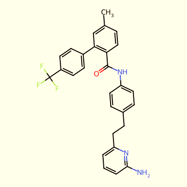 Cc1ccc(C(=O)Nc2ccc(CCc3cccc(N)n3)cc2)c(-c2ccc(C(F)(F)F)cc2)c1